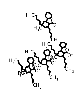 CCCCCC1CC(C)(CCCCC)CC(C2CCCCC2)C1C(=O)[O-].CCCCCC1CC(C)(CCCCC)CC(C2CCCCC2)C1C(=O)[O-].CCCCCC1CC(C)(CCCCC)CC(C2CCCCC2)C1C(=O)[O-].CCCCCC1CC(C)(CCCCC)CC(C2CCCCC2)C1C(=O)[O-].[Mo+4]